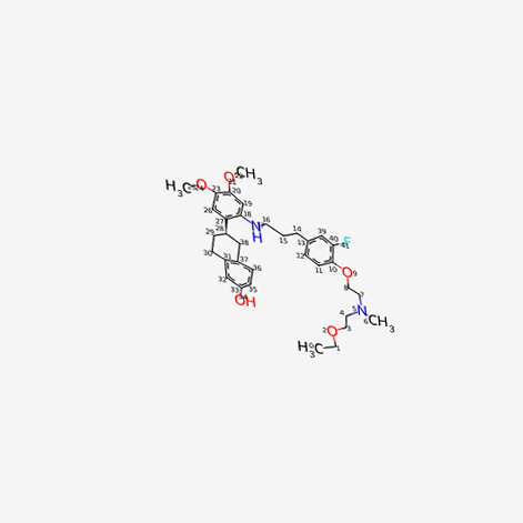 CCOCCN(C)CCOc1ccc(CCCNc2cc(OC)c(OC)cc2[C@@H]2CCc3cc(O)ccc3C2)cc1F